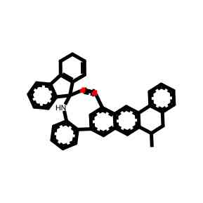 CC1Cc2ccccc2-c2cc3c4cc(cc3cc21)-c1ccccc1NC1(C2=C(CCC=C2)c2ccccc21)c1ccccc1-4